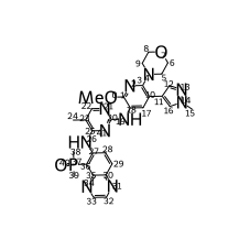 COc1nc(N2CCOCC2)c(-c2cnn(C)c2)cc1Nc1ncc(C)c(Nc2ccc3nccnc3c2P(C)(C)=O)n1